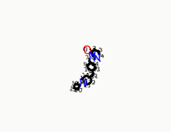 O=c1cccnn1Cc1ccc(C=C2CCN(C3CCC3)CC2)cc1